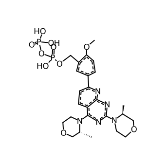 COc1ccc(-c2ccc3c(N4CCOC[C@H]4C)nc(N4CCOC[C@@H]4C)nc3n2)cc1COP(=O)(O)OP(=O)(O)O